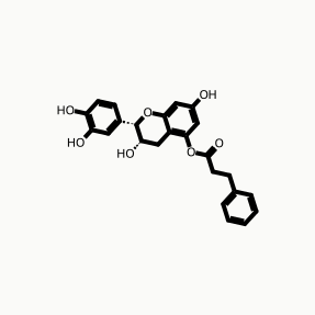 O=C(CCc1ccccc1)Oc1cc(O)cc2c1C[C@H](O)[C@H](c1ccc(O)c(O)c1)O2